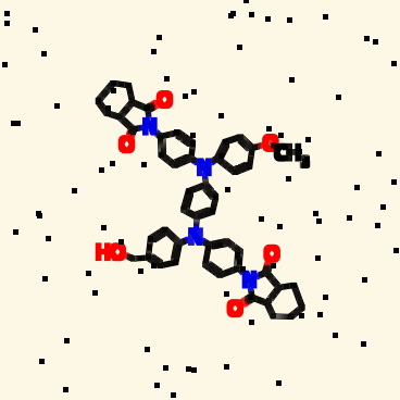 COc1ccc(N(c2ccc(N3C(=O)C4CCCCC4C3=O)cc2)c2ccc(N(c3ccc(CO)cc3)c3ccc(N4C(=O)C5CCCCC5C4=O)cc3)cc2)cc1